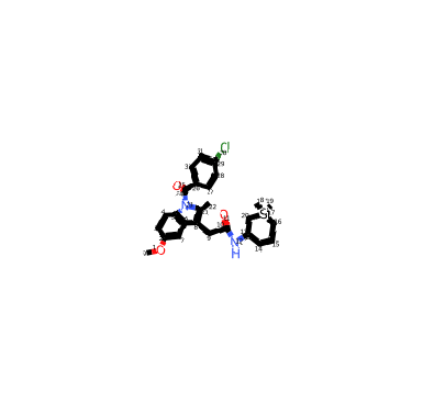 COc1ccc2c(c1)c(CC(=O)NC1CCC[Si](C)(C)C1)c(C)n2C(=O)c1ccc(Cl)cc1